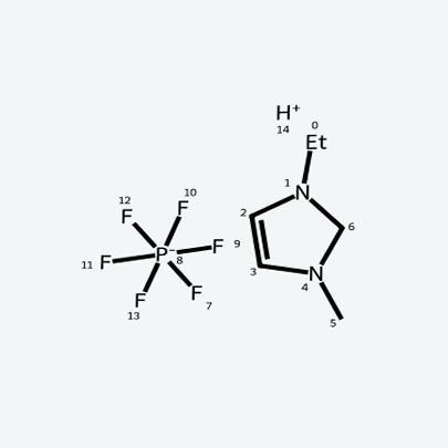 CCN1C=CN(C)C1.F[P-](F)(F)(F)(F)F.[H+]